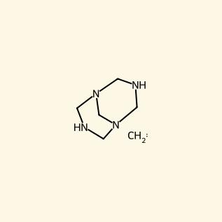 C1NCN2CNCN1C2.[CH2]